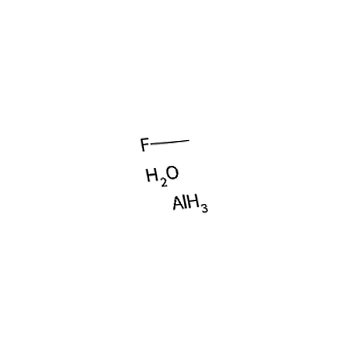 CF.O.[AlH3]